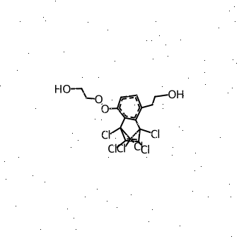 OCCOOc1ccc(CCO)c2c1C1(Cl)C(Cl)=C(Cl)C2(Cl)C1(Cl)Cl